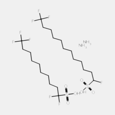 N.N.O=S(=O)(O)C(F)(F)CCCCCCCCC(F)(F)F.O=S(=O)(O)C(F)CCCCCCCCCCC(F)(F)F